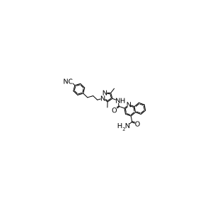 Cc1nn(CCCc2ccc(C#N)cc2)c(C)c1NC(=O)c1cc(C(N)=O)c2ccccc2n1